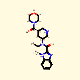 CC(C)CN(C(=O)c1nc2ccccc2n1C)[C@@H]1CNC[C@H](C(=O)N2CCOCC2)C1